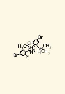 CC(C)Nc1cc(Br)ccc1-c1nnc(-c2ccc(Br)cc2F)n1C(C)C